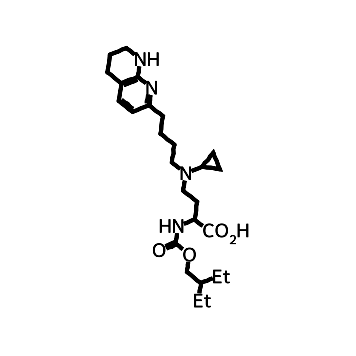 CCC(CC)COC(=O)NC(CCN(CCCCc1ccc2c(n1)NCCC2)C1CC1)C(=O)O